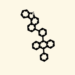 c1ccc(-c2c3ccccc3c(-c3cccc(-c4cccc5c4ccc4sc6ccccc6c45)c3)c3ccccc23)cc1